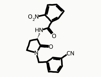 N#Cc1cccc(CN2CC[C@H](NC(=O)c3ccccc3[N+](=O)[O-])C2=O)c1